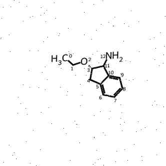 CCO[C@H]1Cc2ccccc2C1N